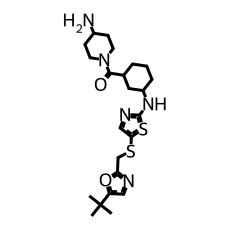 CC(C)(C)c1cnc(CSc2cnc(NC3CCCC(C(=O)N4CCC(N)CC4)C3)s2)o1